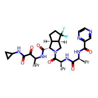 CCCC(NC(=O)[C@@H]1[C@H]2CCC(F)(F)[C@H]2CN1C(=O)[C@@H](NC(=O)[C@@H](NC(=O)c1cnccn1)C(C)C)C(C)C)C(=O)C(=O)NC1CC1